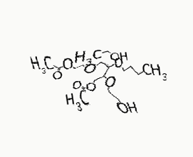 CCCCOC(COCCOC(C)=O)C(COC(C)=O)OCCO.CCO